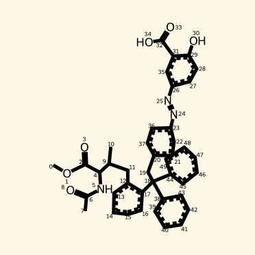 COC(=O)C(NC(C)=O)C(C)Cc1ccccc1C(Cc1ccc(/N=N/c2ccc(O)c(C(=O)O)c2)cc1)(c1ccccc1)c1ccccc1